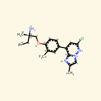 Cc1cn2nc(Cl)cc(-c3ccc(OC[C@@](C)(N)CC(C)C)c(C(F)(F)F)c3)c2n1